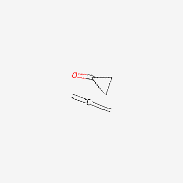 C=C=C.O=C1CC1